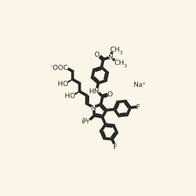 CC(C)c1c(-c2ccc(F)cc2)c(-c2ccc(F)cc2)c(C(=O)Nc2ccc(C(=O)N(C)C)cc2)n1C=C[C@@H](O)C[C@@H](O)CC(=O)[O-].[Na+]